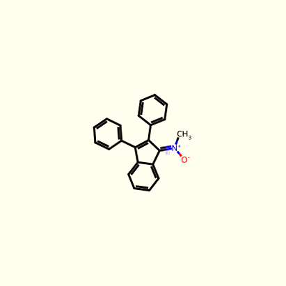 C/[N+]([O-])=C1\C(c2ccccc2)=C(c2ccccc2)c2ccccc21